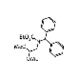 CCOC(=O)N(CC(OC)OC)C(c1ccccc1)c1ccccc1